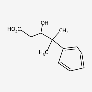 CC(C)(c1ccccc1)C(O)CC(=O)O